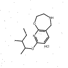 CCC(C)C(C)Oc1ccc2c(n1)OCCNC2.Cl